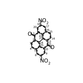 O=c1c2ccc3cc([N+](=O)[O-])cc4c(=O)c5ccc6cc([N+](=O)[O-])cc1c6c5-c2c34